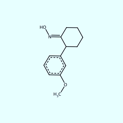 COc1cccc(C2CCCCC2=NO)c1